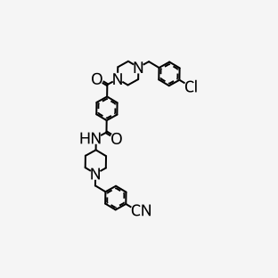 N#Cc1ccc(CN2CCC(NC(=O)c3ccc(C(=O)N4CCN(Cc5ccc(Cl)cc5)CC4)cc3)CC2)cc1